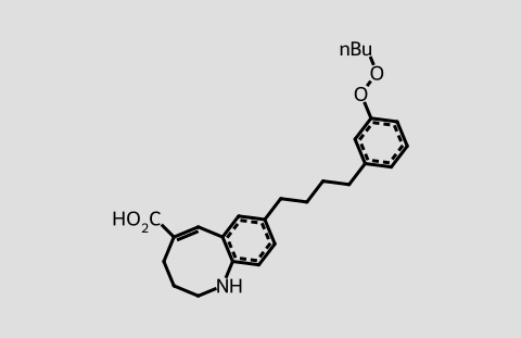 CCCCOOc1cccc(CCCCc2ccc3c(c2)C=C(C(=O)O)CCCN3)c1